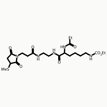 CCOC(=O)NCCCCC(NC(=O)CC)C(=O)NCCNC(=O)CCN1C(=O)CC(SC)C1=O